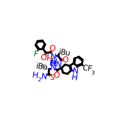 CCC(C)C(NC(=O)[C@@H](O)c1ccccc1F)C(=O)N[C@]1(C(=O)NC(C(N)=S)[C@@H](C)CC)CCc2[nH]c3c(C(F)(F)F)cccc3c2C1